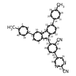 Cc1ccc(-c2ccc3c(c2)c2cc(-c4ccc(C)cc4)ccc2n3-c2ccc(-c3cnc(C#N)nc3)cc2C#N)cc1